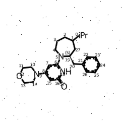 CC(C)C1CCCN(c2cc(N3CCOCC3)cc(=O)[nH]2)[C@H](Cc2ccccc2)C1